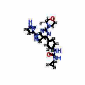 C[C@@H]1COCCN1c1nc(-c2ccc(NC(=O)NC3CC3)cc2)c2cnn(-c3cc[nH]n3)c2n1